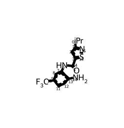 CC(C)c1cc(C(=O)Nc2cc(C(F)(F)F)ccc2N)sn1